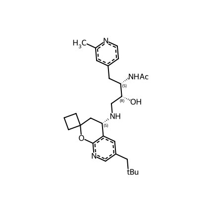 CC(=O)N[C@@H](Cc1ccnc(C)c1)[C@H](O)CN[C@H]1CC2(CCC2)Oc2ncc(CC(C)(C)C)cc21